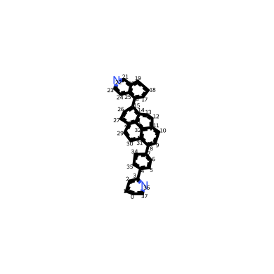 c1ccc(-c2ccc(-c3ccc4ccc5c(-c6cccc7cnccc67)ccc6ccc3c4c65)cc2)nc1